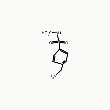 NCc1ccc(S(=O)(=O)NC(=O)O)cc1